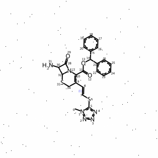 Cn1nnnc1S/C=C/C1=C(C(=O)OC(c2ccccc2)c2ccccc2)N2C(=O)C(N)C2SC1